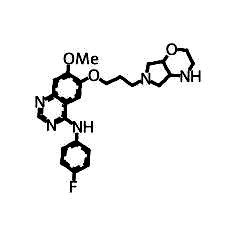 COc1cc2ncnc(Nc3ccc(F)cc3)c2cc1OCCCN1CC2NCCOC2C1